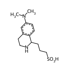 CN(C)c1ccc2c(c1)CCNC2CCCS(=O)(=O)O